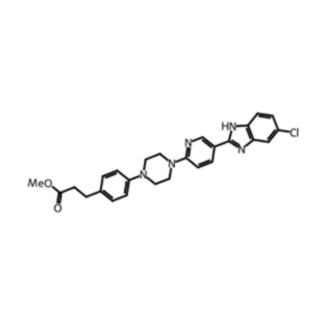 COC(=O)CCc1ccc(N2CCN(c3ccc(-c4nc5cc(Cl)ccc5[nH]4)cn3)CC2)cc1